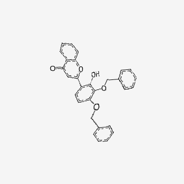 O=c1cc(-c2ccc(OCc3ccccc3)c(OCc3ccccc3)c2O)oc2ccccc12